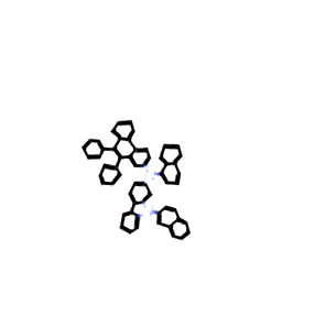 c1ccc(-c2c(-c3ccccc3)c3cc(N(c4ccc5c6ccccc6n(-c6ccc7ccccc7c6)c5c4)c4cccc5ccccc45)ccc3c3ccccc23)cc1